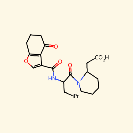 CC(C)CC(NC(=O)c1coc2c1C(=O)CCC2)C(=O)N1CCCCC1CC(=O)O